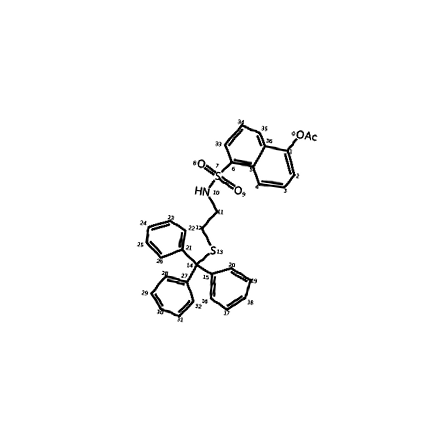 CC(=O)Oc1cccc2c(S(=O)(=O)NCCSC(c3ccccc3)(c3ccccc3)c3ccccc3)cccc12